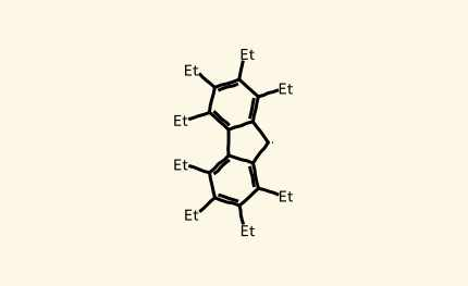 CCc1c2c(c(CC)c(CC)c1CC)-c1c(c(CC)c(CC)c(CC)c1CC)[CH]2